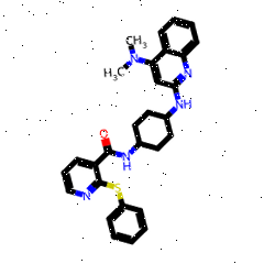 CN(C)c1cc(NC2CCC(NC(=O)c3cccnc3Sc3ccccc3)CC2)nc2ccccc12